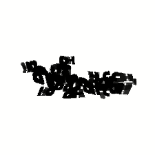 CC(C)C(O)C(C)(C)COC(=O)CN(CCN(CCN(CC(=O)O)CC(=O)O)CC(=O)O)CC(=O)O